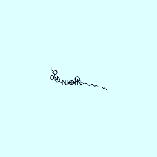 CCCCCCCCCCCCNC(=O)c1ccc(CNCC2CCN(C(=O)c3cccc(I)c3)CC2)cc1